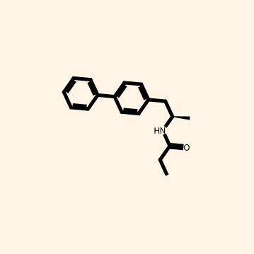 CCC(=O)N[C@H](C)Cc1ccc(-c2ccccc2)cc1